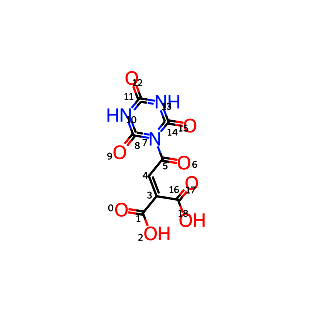 O=C(O)C(=CC(=O)n1c(=O)[nH]c(=O)[nH]c1=O)C(=O)O